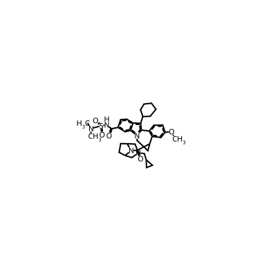 COc1ccc2c(c1)C1CC1(C(=O)N1C3CCC1CN(CC1CC1)C3)Cn1c-2c(C2CCCCC2)c2ccc(C(=O)NS(=O)(=O)N(C)C)cc21